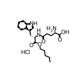 CCCCCOC(=O)[C@H](Cc1c[nH]c2ccccc12)NC(=O)CC[C@@H](N)C(=O)O.Cl